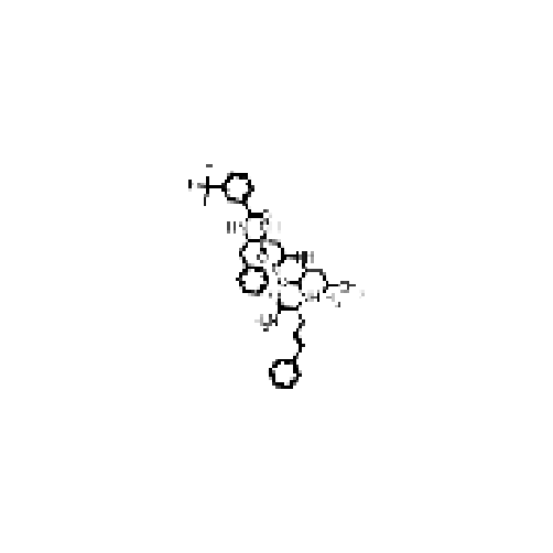 CC(C)C[C@H](NC(=O)CP(=O)(O)C(Cc1ccccc1)NC(=O)c1cccc(C(F)(F)F)c1)C(=O)N[C@@H](CC=Cc1ccccc1)C(N)=O